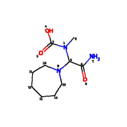 CN(C(=O)O)C(C(N)=O)N1CCCCCC1